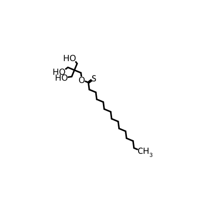 CCCCCCCCCCCCCCC(=S)OCC(CO)(CO)CO